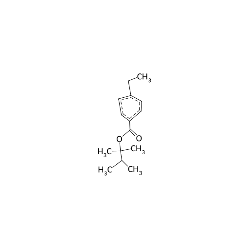 CCc1ccc(C(=O)OC(C)(C)C(C)C)cc1